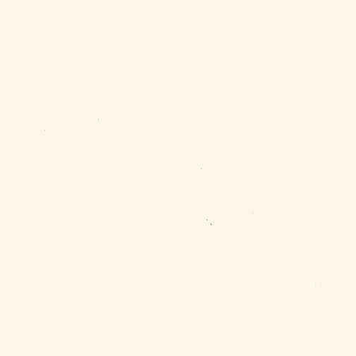 COc1ccc(CNCC(O)c2ccc(OS(=O)(=O)c3ccccc3)cc2)c(OC)c1